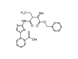 CCC(C(=N)C(=O)OCc1ccccc1)C(=O)Nc1nc(-c2ccccc2C(=O)O)cs1